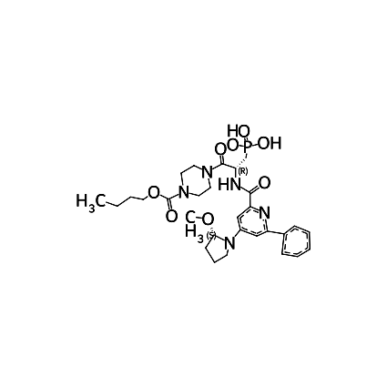 CCCCOC(=O)N1CCN(C(=O)[C@H](CP(=O)(O)O)NC(=O)c2cc(N3CCC[C@@H]3OC)cc(-c3ccccc3)n2)CC1